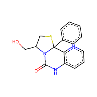 O=C1Nc2cccnc2C2(c3ccccc3)SCC(CO)N12